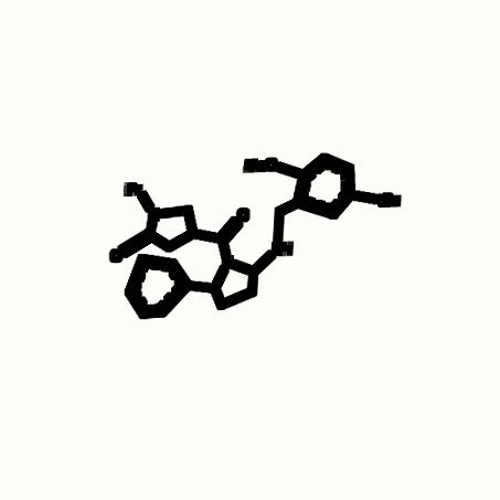 COc1ccc(C(C)(C)C)cc1CNC1CCC(c2ccccc2)N1C(=O)C1CC(=O)N(C(C)C)C1